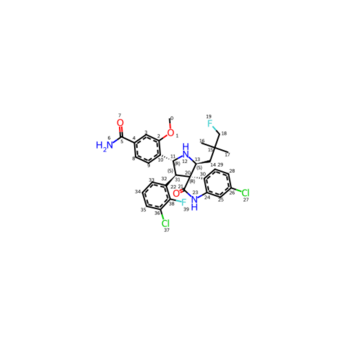 COc1cc(C(N)=O)ccc1[C@@H]1N[C@@H](CC(C)(C)CF)[C@@]2(C(=O)Nc3cc(Cl)ccc32)[C@H]1c1cccc(Cl)c1F